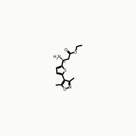 CCOC(=O)C[C@H](N)c1ccc(-c2c(C)noc2C)s1